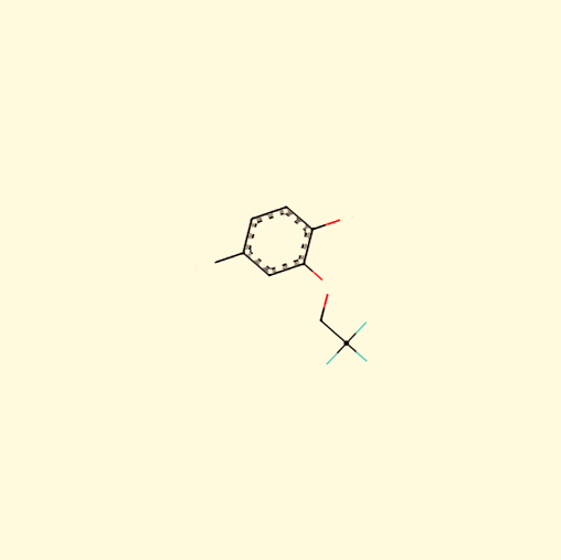 Cc1ccc(O)c(OCC(F)(F)F)c1